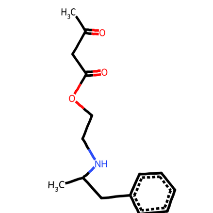 CC(=O)CC(=O)OCCNC(C)Cc1ccccc1